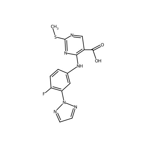 CSc1ncc(C(=O)O)c(Nc2ccc(F)c(-n3nccn3)c2)n1